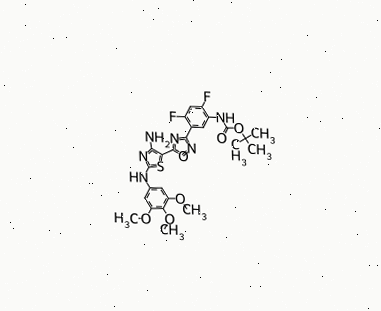 COc1cc(Nc2nc(N)c(-c3nc(-c4cc(NC(=O)OC(C)(C)C)c(F)cc4F)no3)s2)cc(OC)c1OC